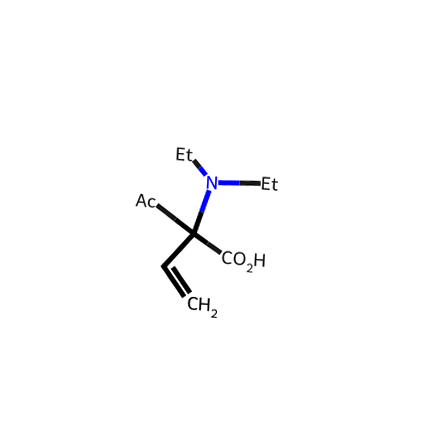 C=CC(C(C)=O)(C(=O)O)N(CC)CC